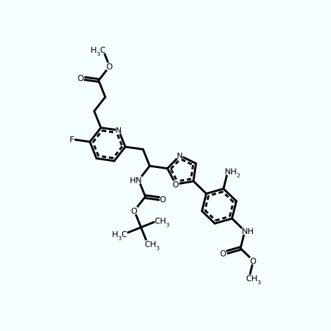 COC(=O)CCc1nc(CC(NC(=O)OC(C)(C)C)c2ncc(-c3ccc(NC(=O)OC)cc3N)o2)ccc1F